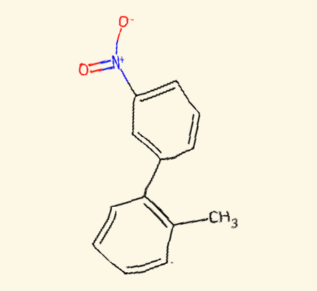 Cc1[c]cccc1-c1cccc([N+](=O)[O-])c1